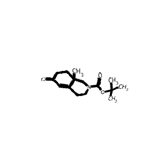 CC(C)(C)OC(=O)N1CCC2=CC(=O)CCC2(C)C1